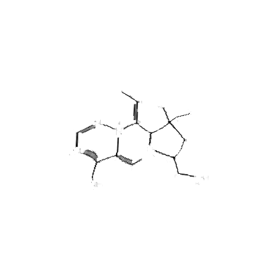 C/C=C1/C(N)=NC=NN1/C(=C\C)C1OC(CO)CC1(C)C